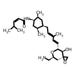 CC(/C=C/[C@H]1O[C@H](CN)C[C@@]2(CO2)[C@@H]1O)=C\C[C@@H]1C[C@H](C)[C@H](NC(=O)/C=C\C(C)C)C[C@@H]1C